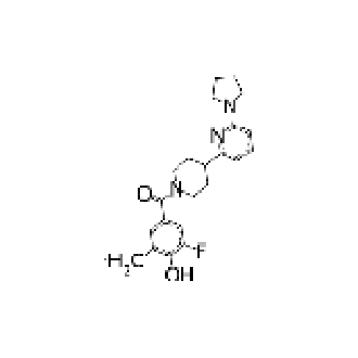 [CH2]c1cc(C(=O)N2CCC(c3cccc(N4CCCC4)n3)CC2)cc(F)c1O